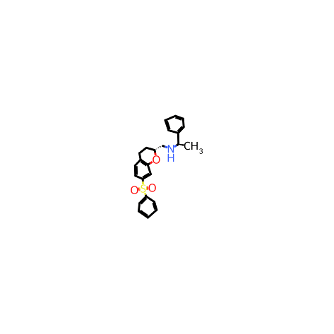 C[C@@H](NC[C@H]1CCc2ccc(S(=O)(=O)c3ccccc3)cc2O1)c1ccccc1